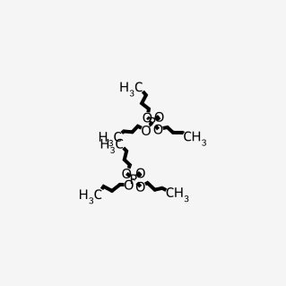 CCCCOP(=O)(OCCCC)OCCCC.CCCCOP(=O)(OCCCC)OCCCC